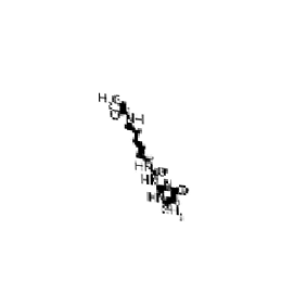 C=CC(=O)NCCCCCCNC(=O)Nc1nc(=O)cc(C)[nH]1